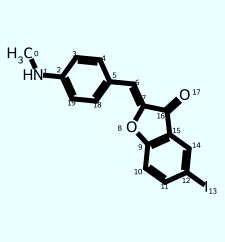 CNc1ccc(/C=C2\Oc3ccc(I)cc3C2=O)cc1